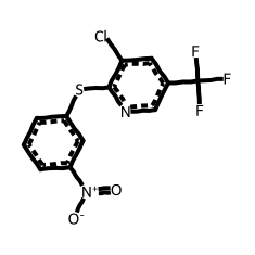 O=[N+]([O-])c1cccc(Sc2ncc(C(F)(F)F)cc2Cl)c1